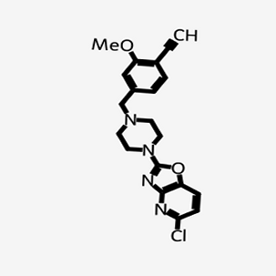 C#Cc1ccc(CN2CCN(c3nc4nc(Cl)ccc4o3)CC2)cc1OC